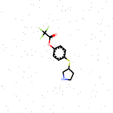 O=C(Oc1ccc(SC2CCNC2)cc1)C(F)(F)F